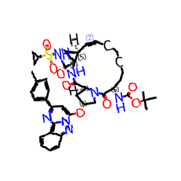 Cc1ccc(-c2cc(O[C@@H]3C[C@H]4C(=O)N[C@]5(C(=O)NS(=O)(=O)C6CC6)C[C@H]5/C=C\CCCCC[C@H](NC(=O)OC(C)(C)C)C(=O)N4C3)n3nc4ccccc4c3n2)cc1